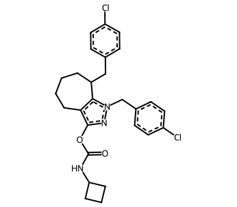 O=C(NC1CCC1)Oc1nn(Cc2ccc(Cl)cc2)c2c1CCCCC2Cc1ccc(Cl)cc1